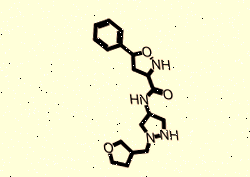 O=C(NC1CNN(CC2CCOC2)C1)C1CC(c2ccccc2)ON1